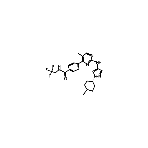 Cc1cnc(Nc2cnn([C@H]3CC[C@H](C)CC3)c2)nc1-c1ccc(C(=O)NCC(F)(F)F)cc1